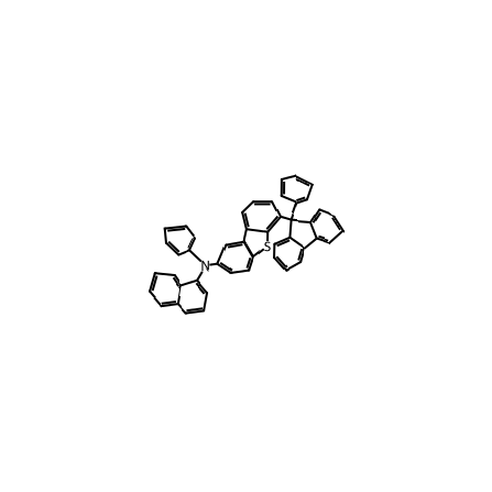 c1ccc(N(c2ccc3sc4c(C5(c6ccccc6)c6ccccc6-c6ccccc65)cccc4c3c2)c2cccc3ccccc23)cc1